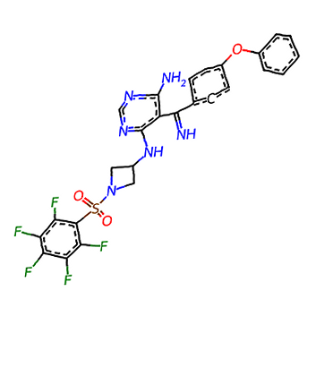 N=C(c1ccc(Oc2ccccc2)cc1)c1c(N)ncnc1NC1CN(S(=O)(=O)c2c(F)c(F)c(F)c(F)c2F)C1